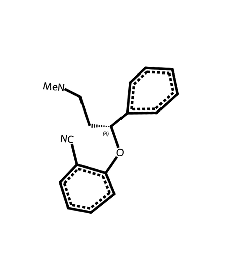 CNCC[C@@H](Oc1ccccc1C#N)c1ccccc1